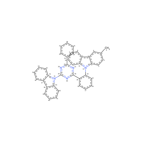 Cc1ccc2c(c1)c1ccccc1n2-c1ccccc1-c1nc(-c2ccccc2)nc(-n2c3ccccc3c3ccccc32)n1